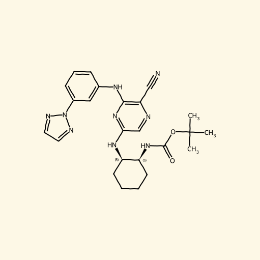 CC(C)(C)OC(=O)N[C@H]1CCCC[C@H]1Nc1cnc(C#N)c(Nc2cccc(-n3nccn3)c2)n1